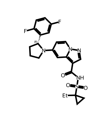 CCC1(S(=O)(=O)NC(=O)c2cnn3ccc(N4CCC[C@@H]4c4cc(F)ccc4F)cc23)CC1